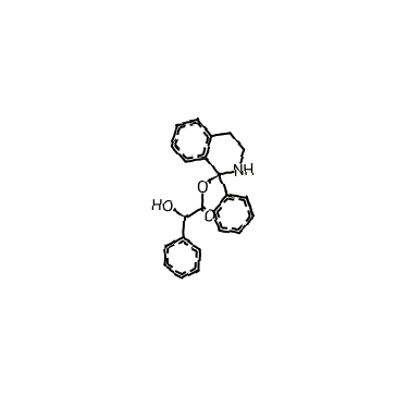 O=C(O[C@]1(c2ccccc2)NCCc2ccccc21)[C@H](O)c1ccccc1